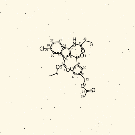 CCOC(=O)n1c(C(=O)c2cc(COC(C)=O)co2)c(NC(=O)CC)c2ccc(Cl)cc21